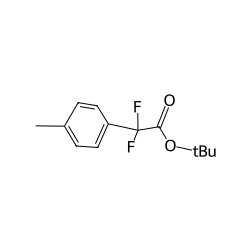 Cc1ccc(C(F)(F)C(=O)OC(C)(C)C)cc1